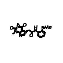 CSc1ccccc1NC(=O)Cn1cnc2c1c(=O)n(C)c(=O)n2C